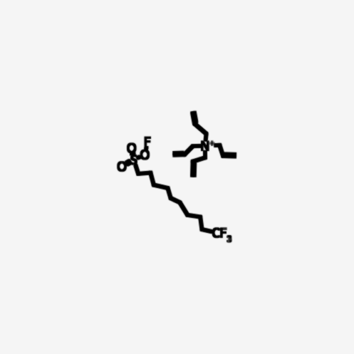 C=CC[N+](CC=C)(CC=C)CC=C.O=S(=O)(CCCCCCCCCC(F)(F)F)OF